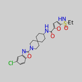 CCS(=N)(=O)c1ccc(C(=O)NC2CCC3(CC2)CCN(c2nc4cc(Cl)ccc4o2)CC3)o1